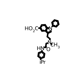 CC(C)c1ccc(NC(=O)CN(C)CCc2cn(-c3ccccc3)c3ccc(C(=O)O)cc23)cc1